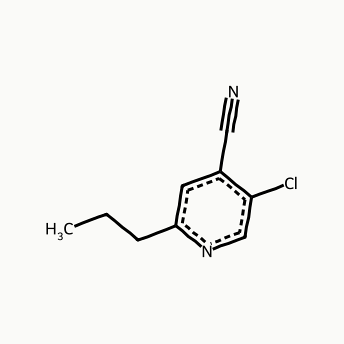 CCCc1cc(C#N)c(Cl)cn1